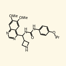 COc1cc2ncnc(C(NC(=O)Nc3ccc(OC(C)C)cc3)C3CNC3)c2cc1OC